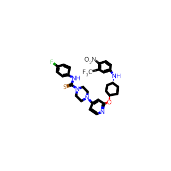 O=[N+]([O-])c1ccc(N[C@H]2CC[C@H](Oc3cc(N4CCN(C(=S)Nc5ccc(F)cc5)CC4)ccn3)CC2)cc1C(F)(F)F